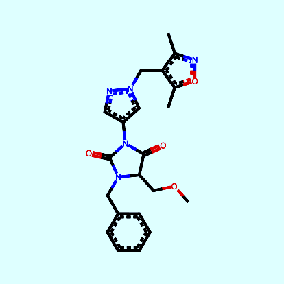 COCC1C(=O)N(c2cnn(Cc3c(C)noc3C)c2)C(=O)N1Cc1ccccc1